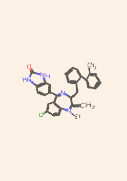 C=C1C(Cc2ccccc2-c2ccccc2C)N=C(c2ccc3[nH]c(=O)[nH]c3c2)c2cc(Cl)ccc2N1CC